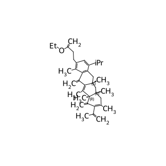 C=C(CCc1cc(C(C)C)c2c(c1C)C(=C)C1=C(C)[C@@]3(C)C(=C)C(C(=C)C)=C(C)C[C@@]3(C)C[C@@]1(C)C2)OCC